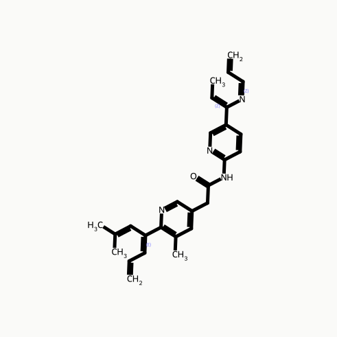 C=C/C=N\C(=C/C)c1ccc(NC(=O)Cc2cnc(/C(C=C(C)C)=C/C=C)c(C)c2)nc1